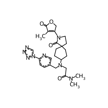 CC1=C(N2CCC3(CCC(N(CC(=O)N(C)C)Cc4ccc(-n5cnnn5)nc4)CC3)C2=O)COC1=O